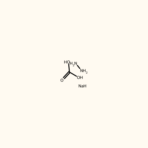 NN.O=C(O)O.[NaH]